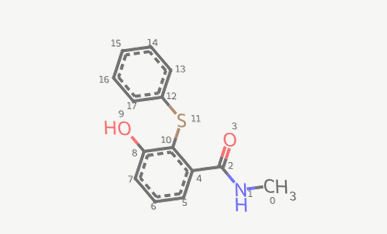 CNC(=O)c1cccc(O)c1Sc1ccccc1